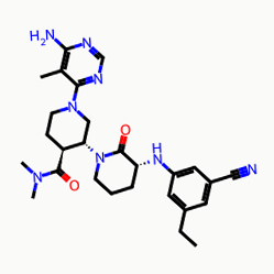 CCc1cc(C#N)cc(N[C@@H]2CCCN([C@H]3CN(c4ncnc(N)c4C)CC[C@@H]3C(=O)N(C)C)C2=O)c1